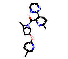 Cc1ccc(OC2CC3CC2N(C(=O)c2nc(C)ccc2-c2ncccn2)C3C)nc1